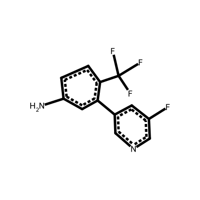 Nc1ccc(C(F)(F)F)c(-c2cncc(F)c2)c1